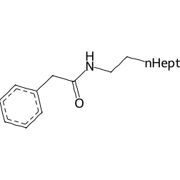 CCCCCCCCCNC(=O)Cc1ccccc1